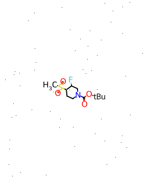 CC(C)(C)OC(=O)N1CCC(S(C)(=O)=O)C(F)C1